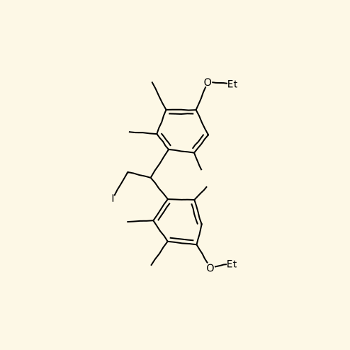 CCOc1cc(C)c(C(CI)c2c(C)cc(OCC)c(C)c2C)c(C)c1C